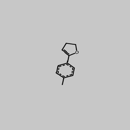 Cc1ccc(C2=CCCO2)cc1